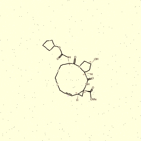 COC(=O)[C@@]12C[C@H]1/C=C\CCCCC[C@H](NC(=O)OC1CCCC1)C(=O)N1C[C@H](O)C[C@H]1C(=O)N2